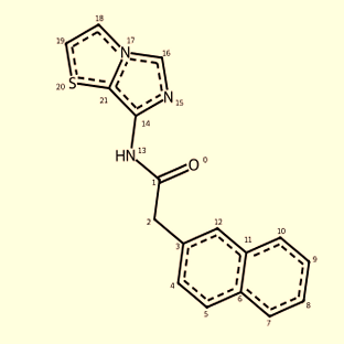 O=C(Cc1ccc2ccccc2c1)Nc1ncn2ccsc12